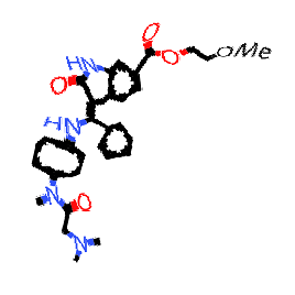 COCCOC(=O)c1ccc2c(c1)NC(=O)/C2=C(\Nc1ccc(N(C)C(=O)CN(C)C)cc1)c1ccccc1